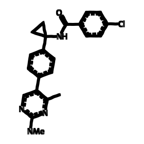 CNc1ncc(-c2ccc(C3(NC(=O)c4ccc(Cl)cc4)CC3)cc2)c(C)n1